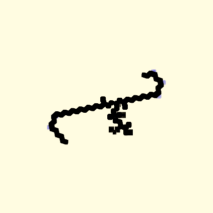 CC/C=C\C/C=C\C/C=C\CCCCCCCC(=O)O[C@H](COC(=O)CCCCCCCCCCC/C=C\C/C=C\CCCCC)COP(=O)(O)OC[C@H](N)C(=O)O